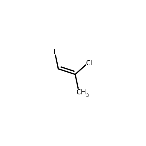 C/C(Cl)=C/I